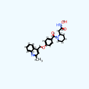 Cc1cc(COc2ccc(C(=O)N3CCCCC3CC(=O)NO)cc2)c2ccccc2n1